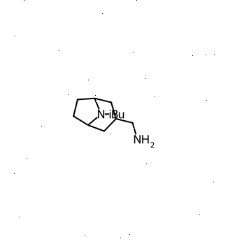 CCC(C)N1C2CCC1CC(CN)C2